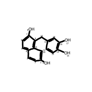 Oc1ccc2ccc(O)c(Cc3ccc(O)c(O)c3)c2c1